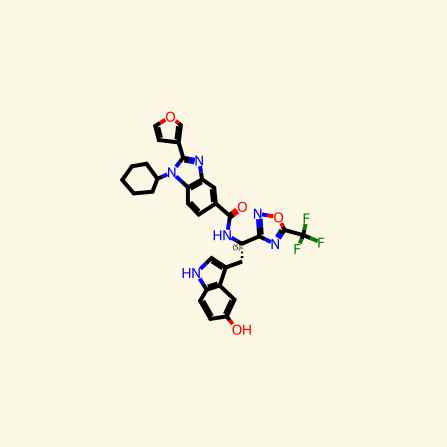 O=C(N[C@@H](Cc1c[nH]c2ccc(O)cc12)c1noc(C(F)(F)F)n1)c1ccc2c(c1)nc(-c1ccoc1)n2C1CCCCC1